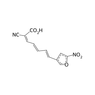 N#CC(=CC=CC=Cc1coc([N+](=O)[O-])c1)C(=O)O